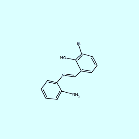 CCc1cccc(C=Nc2ccccc2N)c1O